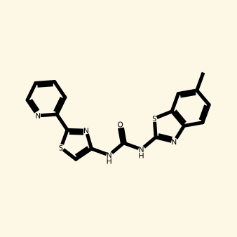 Cc1ccc2nc(NC(=O)Nc3csc(-c4ccccn4)n3)sc2c1